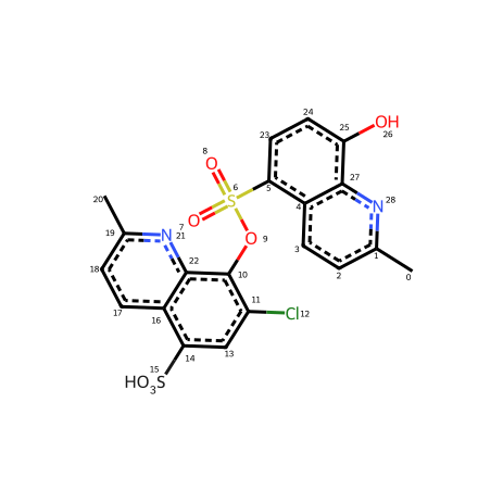 Cc1ccc2c(S(=O)(=O)Oc3c(Cl)cc(S(=O)(=O)O)c4ccc(C)nc34)ccc(O)c2n1